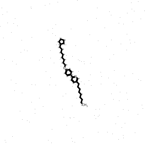 CCCCCCCCCc1ccc(-c2ccc(OCCCCCCCCC3CCCC3)cc2)nc1